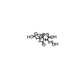 O=C(O)CC1(O)CC(=O)N(C(CCO)C(=O)O)C1=O